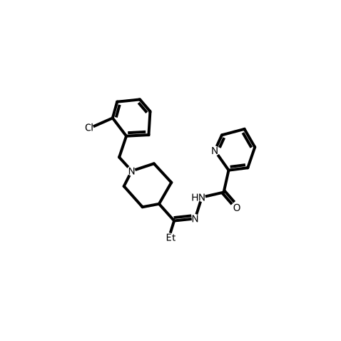 CCC(=NNC(=O)c1ccccn1)C1CCN(Cc2ccccc2Cl)CC1